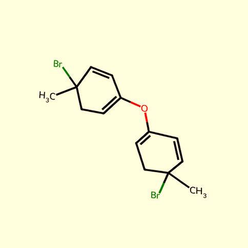 CC1(Br)C=CC(OC2=CCC(C)(Br)C=C2)=CC1